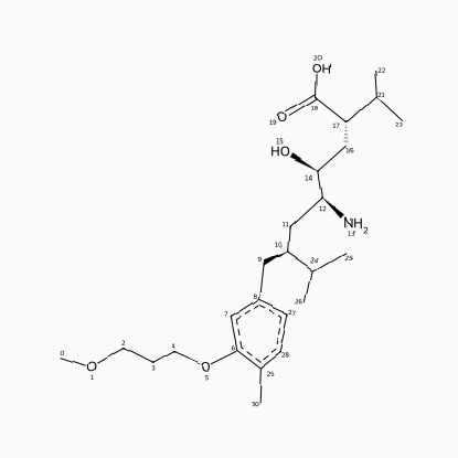 COCCCOc1cc(C[C@@H](C[C@H](N)[C@@H](O)C[C@H](C(=O)O)C(C)C)C(C)C)ccc1C